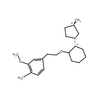 COc1cc(CCOC2CCCC[C@H]2N2CC[C@@H](C)C2)ccc1C